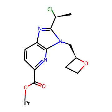 CC(C)OC(=O)c1ccc2nc([C@H](C)Cl)n(C[C@@H]3CCO3)c2n1